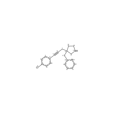 Clc1ccc(C#CCC2(Sc3ccccn3)CNCS2)cc1